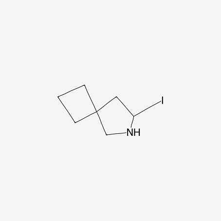 IC1CC2(CCC2)CN1